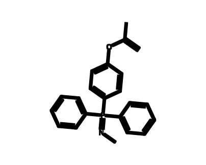 C=C(C)Oc1ccc(P(=NC)(c2ccccc2)c2ccccc2)cc1